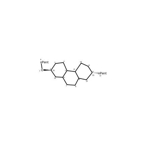 CCCCCO[C@H]1CCC2C(CCC3C[C@@H](CCCCC)CCC32)C1